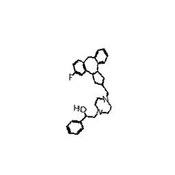 OC(CN1CCN(CC2CC3c4ccccc4Cc4ccc(F)cc4C3C2)CC1)c1ccccc1